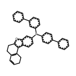 C1=CC2=C(CC1)c1c(oc3cc(N(c4ccc(-c5ccccc5)cc4)c4cccc(-c5ccccc5)c4)ccc13)CC2